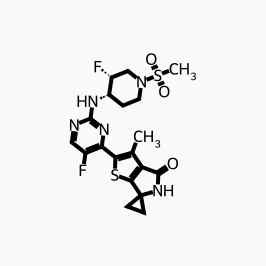 Cc1c(-c2nc(N[C@H]3CCN(S(C)(=O)=O)C[C@H]3F)ncc2F)sc2c1C(=O)NC21CC1